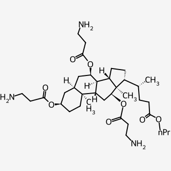 CCCOC(=O)CC[C@@H](C)[C@H]1CC[C@H]2[C@@H]3[C@H](OC(=O)CCN)C[C@@H]4C[C@H](OC(=O)CCN)CC[C@]4(C)[C@H]3C[C@H](OC(=O)CCN)[C@]12C